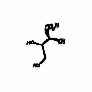 O=C(O)[C@@H](O)[C@@H](O)CO